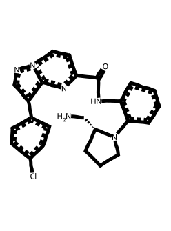 NC[C@H]1CCCN1c1ccccc1NC(=O)c1ccn2ncc(-c3ccc(Cl)cc3)c2n1